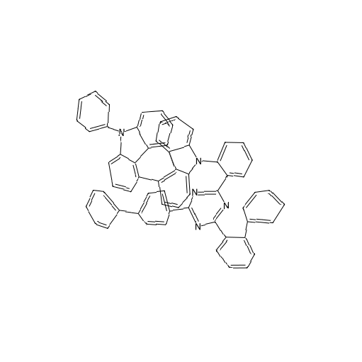 c1ccc(-c2ccc(-c3nc(-c4ccccc4-c4ccccc4)nc(-c4ccccc4-n4c5ccccc5c5c(-c6cccc7c6c6ccccc6n7-c6ccccc6)cccc54)n3)cc2)cc1